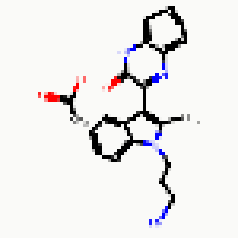 CC(=O)O.Cc1c(-c2nc3ccccc3[nH]c2=O)c2ccccc2n1CCCN